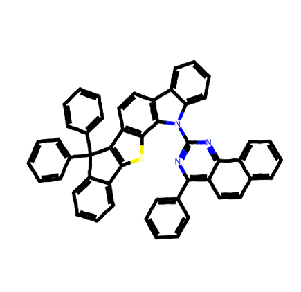 c1ccc(-c2nc(-n3c4ccccc4c4ccc5c6c(sc5c43)-c3ccccc3C6(c3ccccc3)c3ccccc3)nc3c2ccc2ccccc23)cc1